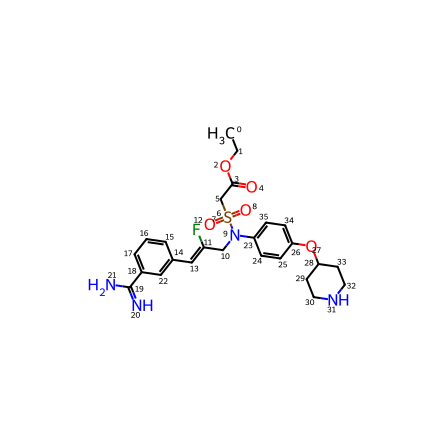 CCOC(=O)CS(=O)(=O)N(C/C(F)=C/c1cccc(C(=N)N)c1)c1ccc(OC2CCNCC2)cc1